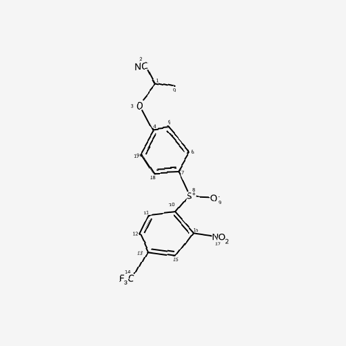 CC(C#N)Oc1ccc([S+]([O-])c2ccc(C(F)(F)F)cc2[N+](=O)[O-])cc1